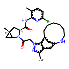 CC(=O)c1nn(CC(=O)N2C3C[C@]3(C)C[C@H]2C(=O)Nc2nc(Br)ccc2C)c2c3cc(cc12)NCCCCCC3